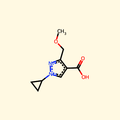 COCc1nn(C2CC2)cc1C(=O)O